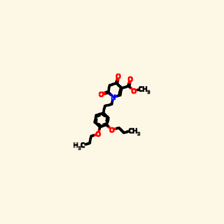 CCCOc1ccc(CCN2C=C(C(=O)OC)C(=O)CC2=O)cc1OCCC